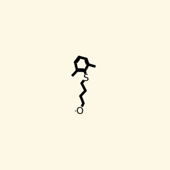 Cc1cccc(C)c1SCCCC[O]